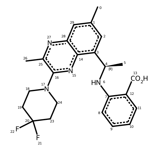 Cc1cc([C@@H](C)Nc2ccccc2C(=O)O)c2nc(N3CCC(F)(F)CC3)c(C)nc2c1